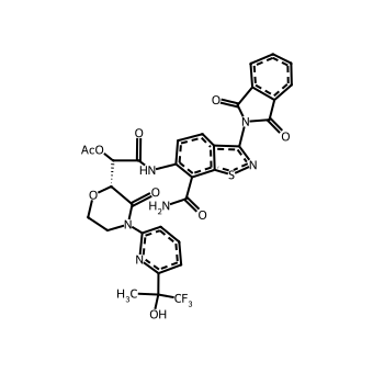 CC(=O)OC(C(=O)Nc1ccc2c(N3C(=O)c4ccccc4C3=O)nsc2c1C(N)=O)[C@H]1OCCN(c2cccc(C(C)(O)C(F)(F)F)n2)C1=O